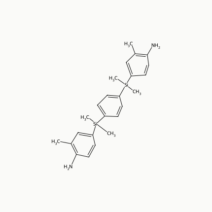 Cc1cc([Si](C)(C)c2ccc([Si](C)(C)c3ccc(N)c(C)c3)cc2)ccc1N